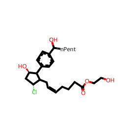 CCCCCC(O)c1ccc(C2C(C/C=C\CCCC(=O)OCCO)[C@H](Cl)C[C@H]2O)cc1